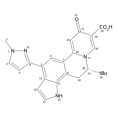 Cn1ccc(-c2cc3c(c4[nH]ccc24)C[C@@H](C(C)(C)C)n2cc(C(=O)O)c(=O)cc2-3)n1